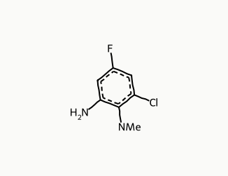 CNc1c(N)cc(F)cc1Cl